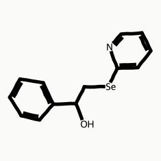 OC(C[Se]c1ccccn1)c1ccccc1